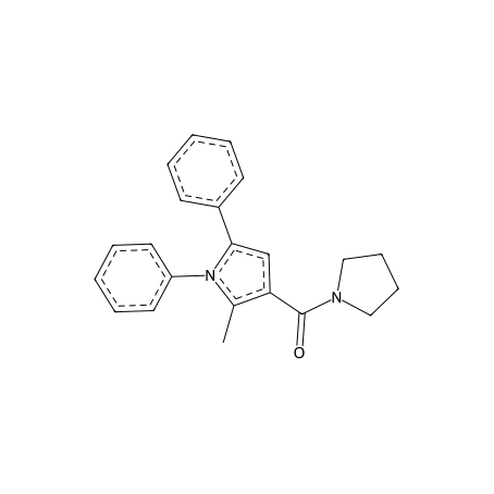 Cc1c(C(=O)N2CCCC2)cc(-c2ccccc2)n1-c1ccccc1